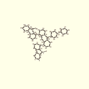 Cp1c2ccccc2c2cccc(-c3cccc4c(-c5ccc(-c6ccccc6)cc5)c5cccc(-c6cccc7c8ccccc8p(C)c67)c5cc34)c21